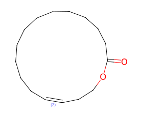 O=C1CCCCCCCCCCC/C=C\CCO1